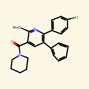 COc1nc(-c2ccc(Cl)cc2)c(-c2ccccc2)cc1C(=O)N1CCCCC1